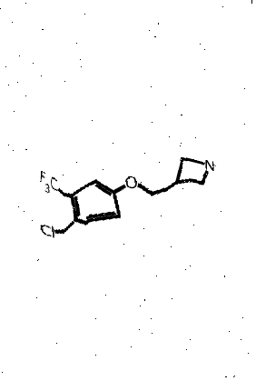 FC(F)(F)c1cc(OCC2C[N]C2)ccc1Cl